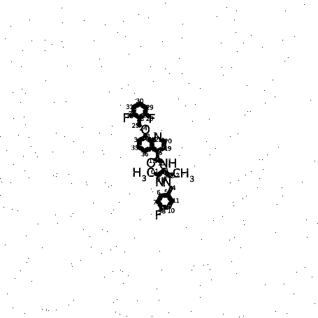 Cc1nn(Cc2ccc(F)cc2)c(C)c1NC(=O)c1ccnc2c(OCc3c(F)cccc3F)cccc12